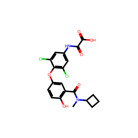 CN(C(=O)c1cc(Oc2c(Cl)cc(NC(=O)C(=O)O)cc2Cl)ccc1O)C1CCC1